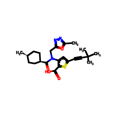 Cc1nnc(CN(c2cc(C#CC(C)(C)C)sc2C(=O)O)C(=O)[C@H]2CC[C@H](C)CC2)o1